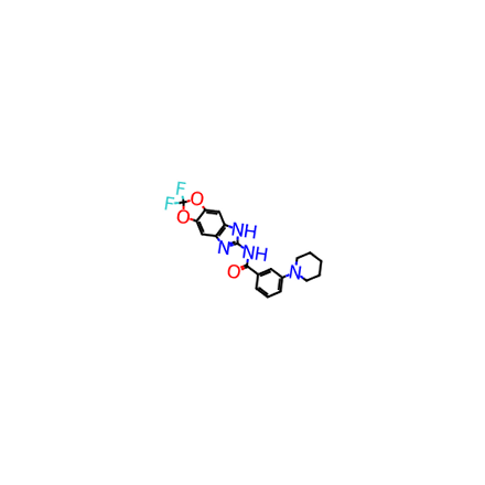 O=C(Nc1nc2cc3c(cc2[nH]1)OC(F)(F)O3)c1cccc(N2CCCCC2)c1